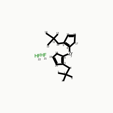 CC(C)(C)CC1=[C]([Zr][C]2=C(CC(C)(C)C)C=CC2)CC=C1.F.F